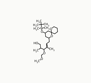 COCOC(/C(C)=C/CC1CC(O[Si](C)(C)C(C)(C)C)CC2(CCCCO2)O1)C(C)CO